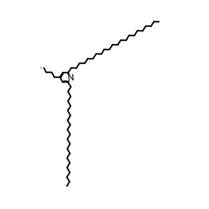 [CH2]CCCc1cc(CCCCCCCCCCCCCCCCCCCCCC)nc(CCCCCCCCCCCCCCCCCCCCCC)c1